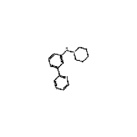 c1cc(NN2CCCCC2)cc(-c2cnccn2)c1